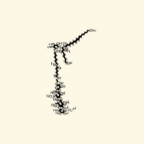 CCCCCCCCCCCCCCCCCCCCCCCCCC(=O)N[C@@H](CO[C@H]1O[C@H](COCCCCCCNC(=O)CCCCC(=O)NCCO[C@@H]2O[C@@H](CO)[C@@H](O[C@@H]3O[C@H](C(=O)O)[C@@H](O)[C@H](O[C@@H]4O[C@H](CO)[C@@H](O[C@@H]5O[C@H](C(=O)O)[C@@H](O)[C@@H](O)[C@@H]5O)[C@H](O)[C@@H]4O)[C@H]3O)[C@@H](O)[C@H]2O)[C@@H](O)[C@H](O)[C@H]1O)[C@H](O)[C@H](O)CCCCCCCCCCCCCC